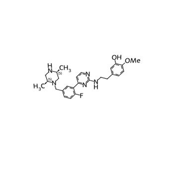 COc1ccc(CCNc2nccc(-c3cc(CN4C[C@H](C)NC[C@@H]4C)ccc3F)n2)cc1O